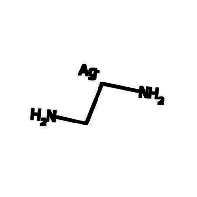 NCCN.[Ag]